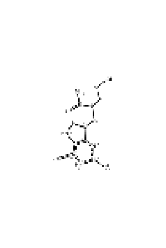 NC(=O)C(CCO)CN1CNc2c1nc(N)[nH]c2=O